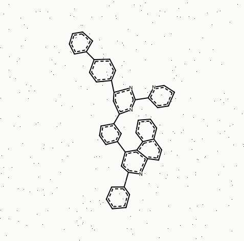 c1ccc(-c2ccc(-c3cc(-c4cccc(-c5cc(-c6ccccc6)nc6ccc7ccccc7c56)c4)nc(-c4ccccn4)n3)cc2)cc1